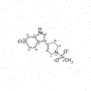 CS(=O)(=O)N1CC=C(c2c[nH]c3cc(Cl)ccc23)CC1